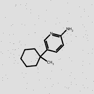 CC1(c2ccc(N)nc2)CCCCC1